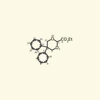 CCOC(=O)C1OCC(c2ccccc2)(c2ccccc2)CO1